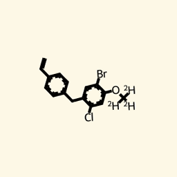 [2H]C([2H])([2H])Oc1cc(Cl)c(Cc2ccc(C=C)cc2)cc1Br